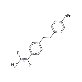 CCCc1ccc(CCc2ccc(/C(F)=C(/C)F)cc2)cc1